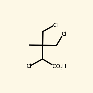 CC(CCl)(CCl)C(Cl)C(=O)O